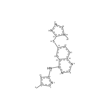 Cc1cnc(Nc2ncnc3ccc(Sc4nncn4C)cc23)s1